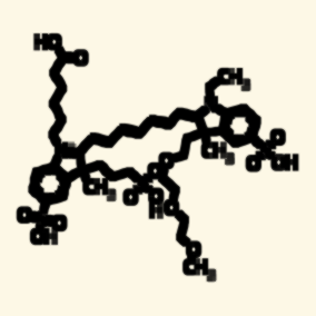 CCN1/C(=C/C=C/C=C/C=C/C2=[N+](CCCCCC(=O)O)c3ccc(S(=O)(=O)O)cc3C2(C)CCCS(=O)(=O)O)C(C)(CCOCCOCCOC)c2cc(S(=O)(=O)O)ccc21